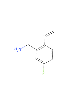 C=[C]c1ccc(F)cc1CN